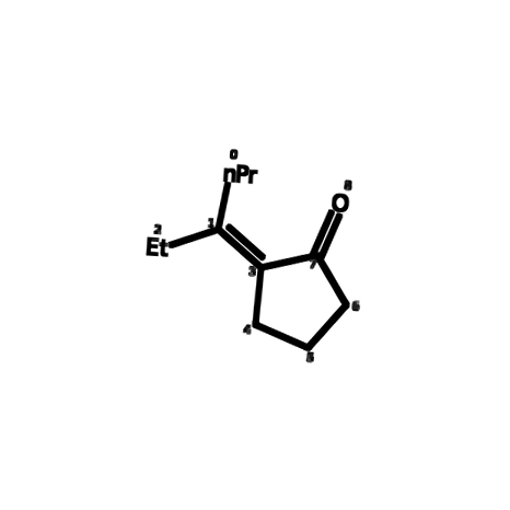 CCCC(CC)=C1CCCC1=O